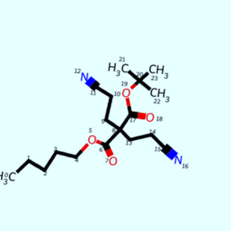 CCCCCOC(=O)C(CCC#N)(CCC#N)C(=O)OC(C)(C)C